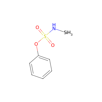 O=S(=O)(N[SiH3])Oc1ccccc1